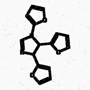 C1=NC(c2ccco2)C(c2ccco2)N1c1ccco1